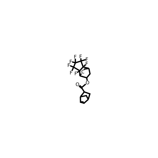 O=C(OC1CC2CCC1C1(F)C(F)(F)C(F)(F)C(F)(F)C21F)C1CC2C=CC1C2